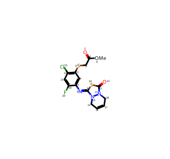 COC(=O)CSc1cc(N=c2sc(=O)n3n2CC=CC3)c(F)cc1Cl